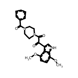 COc1ccc(OC)c2c(C(=O)C(=O)N3CCN(C(=O)c4ccccc4)CC3)c[nH]c12